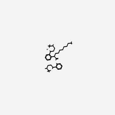 CC1CCC(c2ccccc2OC(=O)C(CCCCCCCC(=O)O)c2ccccc2C2CCC(C)C(C)(C)N2C)N(C)C1(C)C